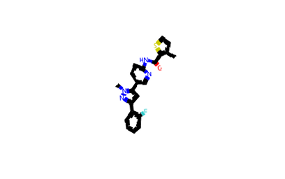 Cc1ccsc1C(=O)Nc1ccc(-c2cc(-c3ccccc3F)nn2C)cn1